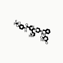 CN(Cc1ccccc1NC1CCC(=O)NC1=O)C1CCN(c2ncc(C(=O)Nc3ccc(OC(F)(F)Cl)cc3)cc2-c2cc[nH]n2)CC1